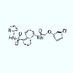 O=C(COc1cccc(Cl)c1)Nc1cccc2c(S(=O)(=O)Nc3nccs3)cccc12